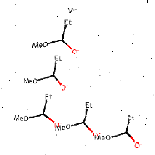 CCC([O-])OC.CCC([O-])OC.CCC([O-])OC.CCC([O-])OC.CCC([O-])OC.[V+5]